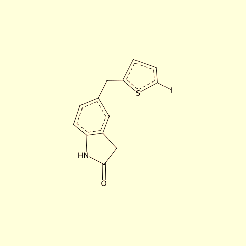 O=C1Cc2cc(Cc3ccc(I)s3)ccc2N1